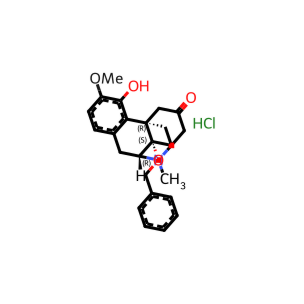 COc1ccc2c(c1O)[C@]13CCN(C)[C@H](C2)[C@]1(OCc1ccccc1)CCC(=O)C3.Cl